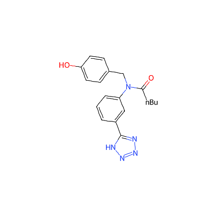 CCCCC(=O)N(Cc1ccc(O)cc1)c1cccc(-c2nnn[nH]2)c1